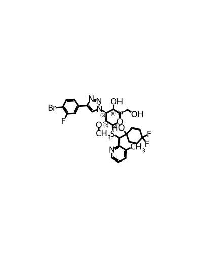 CO[C@@H]1[C@@H](n2cc(-c3ccc(Br)c(F)c3)nn2)[C@@H](O)[C@@H](CO)O[C@H]1SC(c1ncccc1C)C1(O)CCC(F)(F)CC1